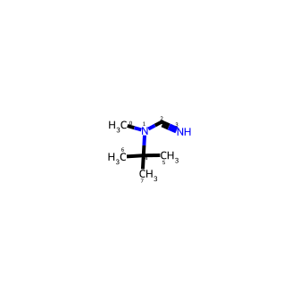 CN(C=N)C(C)(C)C